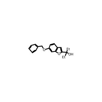 CCC(O)(CC)c1cc2ccc(OCc3ccccc3)cc2o1